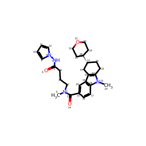 CN(CCCC(=O)Nn1cccc1)C(=O)c1ccc2c(c1)c1c(n2C)CC[C@@H](C2CCOCC2)C1